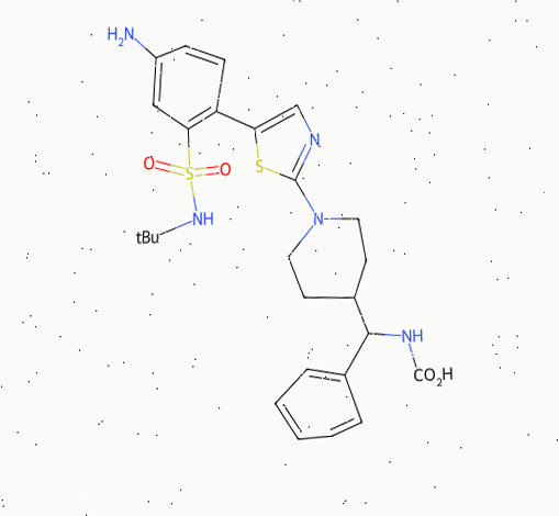 CC(C)(C)NS(=O)(=O)c1cc(N)ccc1-c1cnc(N2CCC(C(NC(=O)O)c3ccccc3)CC2)s1